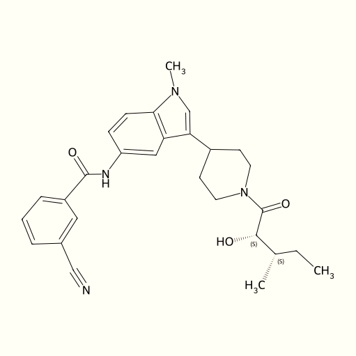 CC[C@H](C)[C@H](O)C(=O)N1CCC(c2cn(C)c3ccc(NC(=O)c4cccc(C#N)c4)cc23)CC1